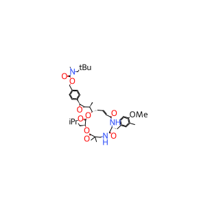 COc1ccc(C[C@H]2NC(=O)/C=C/C[C@@H]([C@H](C)[C@@H]3O[C@H]3c3ccc(COC(=O)N(C)CC(C)(C)C)cc3)OC(=O)[C@H](CC(C)C)OC(=O)C(C)(C)CNC2=O)cc1C